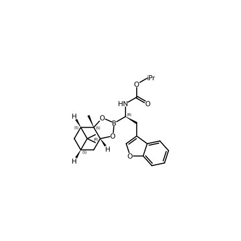 CC(C)OC(=O)N[C@@H](Cc1coc2ccccc12)B1O[C@@H]2C[C@@H]3C[C@@H](C3(C)C)[C@]2(C)O1